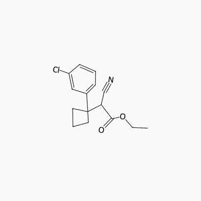 CCOC(=O)C(C#N)C1(c2cccc(Cl)c2)CCC1